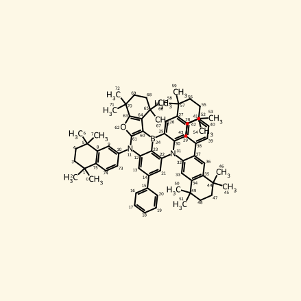 CC1(C)CCC(C)(C)c2cc(N3c4cc(-c5ccccc5)cc5c4B(c4cc6c(cc4N5c4cc5c(cc4-c4ccccc4)C(C)(C)CCC5(C)C)C(C)(C)CCC6(C)C)c4c3oc3c4C(C)(C)CCC3(C)C)ccc21